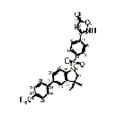 CC1(C)CN(S(=O)(=O)c2ccc(-c3nc(=O)o[nH]3)cc2)c2ccc(-c3ccc(C(F)(F)F)cc3)cc21